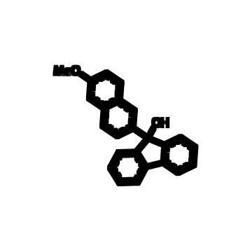 COc1ccc2cc(C3(O)c4ccccc4-c4ccccc43)ccc2c1